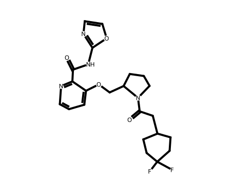 O=C(Nc1ncco1)c1ncccc1OCC1CCCN1C(=O)CC1CCC(F)(F)CC1